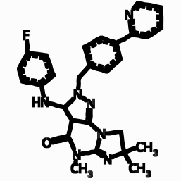 CN1C(=O)C2C(=NN(Cc3ccc(-c4ccccn4)cc3)C2Nc2ccc(F)cc2)N2CC(C)(C)N=C12